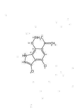 C=C(C)c1cc(Cl)c2c(Cl)n[nH]c2c1OCC